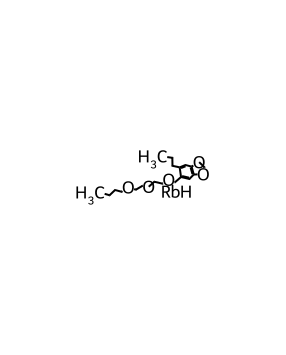 CCCCOCCOCCOCc1cc2c(cc1CCC)OCO2.[RbH]